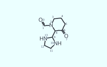 O=[C]N1CCCC(=O)C1C1NCCN1